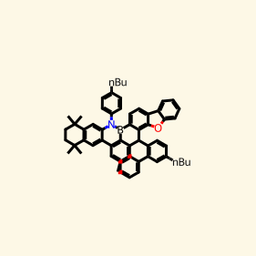 CCCCc1ccc(N2B3c4ccc5c(oc6ccccc65)c4C(c4ccc(CCCC)cc4-c4ccccc4)c4cc(C)cc(c43)-c3cc4c(cc32)C(C)(C)CCC4(C)C)cc1